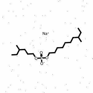 CCC(C)CCCCCCCOP(=O)([O-])OCCCC(C)CC.[Na+]